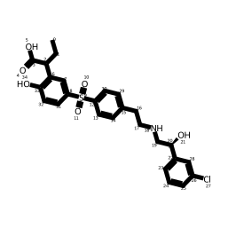 CCC(C(=O)O)c1cc(S(=O)(=O)c2ccc(CCNC[C@@H](O)c3cccc(Cl)c3)cc2)ccc1O